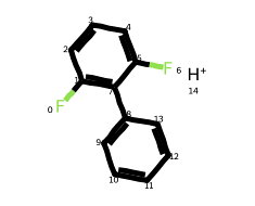 Fc1c[c]cc(F)c1-c1ccccc1.[H+]